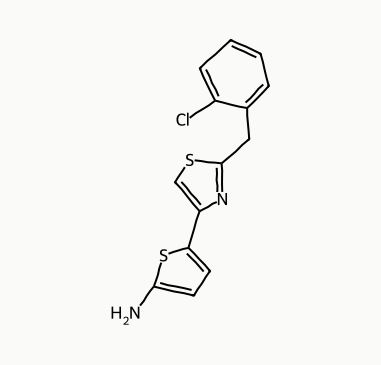 Nc1ccc(-c2csc(Cc3ccccc3Cl)n2)s1